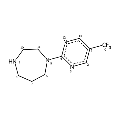 FC(F)(F)c1cnc(N2CCCNCC2)nc1